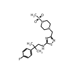 CC(C)(CNc1nc(CN2CCN(S(C)(=O)=O)CC2)ns1)c1ccc(F)cc1